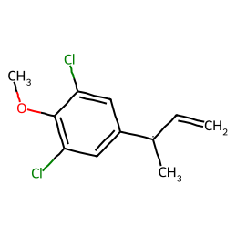 C=C[C](C)c1cc(Cl)c(OC)c(Cl)c1